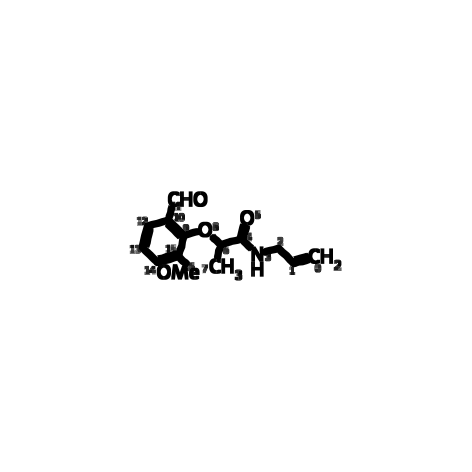 C=CCNC(=O)C(C)Oc1c(C=O)cccc1OC